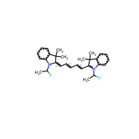 CC(F)N1/C(=C/C=C/C=C/C2=[N+](C(C)F)c3ccccc3C2(C)C)C(C)(C)c2ccccc21